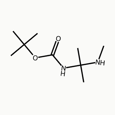 CNC(C)(C)NC(=O)OC(C)(C)C